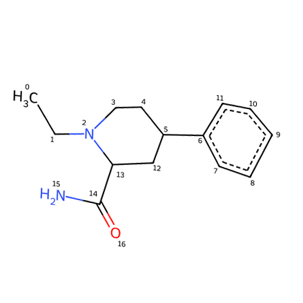 CCN1CCC(c2ccccc2)CC1C(N)=O